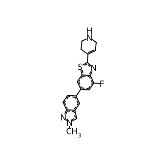 Cn1cc2cc(-c3cc(F)c4nc(C5=CCNCC5)sc4c3)ccc2n1